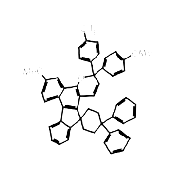 COc1ccc(C2(c3ccc(C)cc3)C=Cc3c4c(c5ccc(OC)cc5c3O2)-c2ccccc2C42CCC(c3ccccc3)(c3ccccc3)CC2)cc1